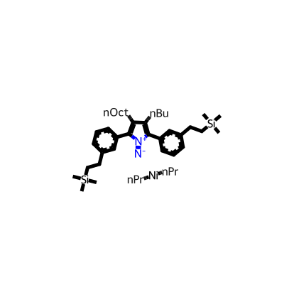 CCCCCCCCC1=C(c2cccc(CC[Si](C)(C)C)c2)[N+](=[N-])C(c2cccc(CC[Si](C)(C)C)c2)=C1CCCC.CC[CH2][Ni][CH2]CC